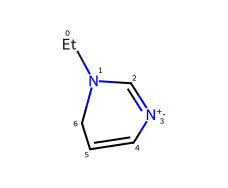 CCN1C=[N+]C=CC1